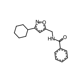 O=C(NCc1cc(C2CCCCC2)no1)c1ccccc1